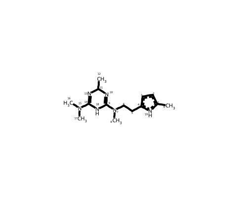 Cc1ccc(CCN(C)C2=NC(C)N=C(N(C)C)N2)[nH]1